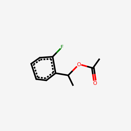 CC(=O)OC(C)c1ccccc1F